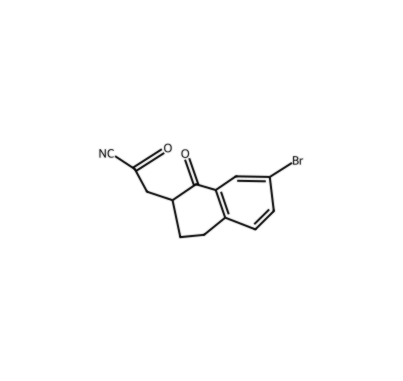 N#CC(=O)CC1CCc2ccc(Br)cc2C1=O